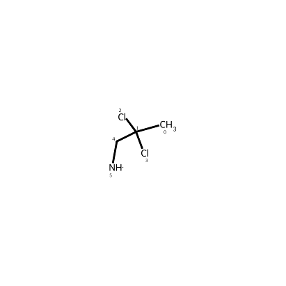 CC(Cl)(Cl)C[NH]